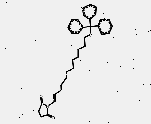 O=C1CCC(=O)N1C=CCCCCCCCCCCOC(c1ccccc1)(c1ccccc1)c1ccccc1